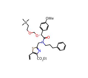 C=Cc1sc(CN(CCCc2ccccc2)C(=O)[C@H](OCOCC[Si](C)(C)C)c2ccc(OC)cc2)nc1C(=O)OCC